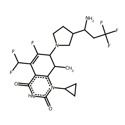 CC1c2c(c(=O)[nH]c(=O)n2C2CC2)C(C(F)F)=C(F)C1N1CCC(C(N)CC(F)(F)F)C1